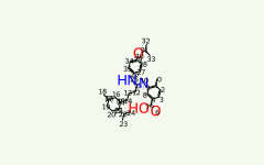 Cc1ccc(C(=O)O)cc1/N=C(\CCC[C@@H]1C[C@H](C)CC[C@H]1C(C)C)Nc1ccc(OC(C)C)cc1